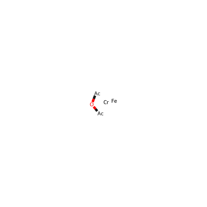 CC(=O)OC(C)=O.[Cr].[Fe]